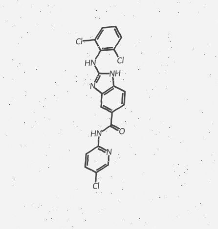 O=C(Nc1ccc(Cl)cn1)c1ccc2[nH]c(Nc3c(Cl)cccc3Cl)nc2c1